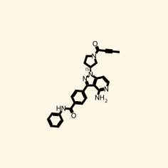 CC#CC(=O)N1CC[C@H](n2nc(-c3ccc(C(=O)Nc4ccccc4)cc3)c3c(N)nccc32)C1